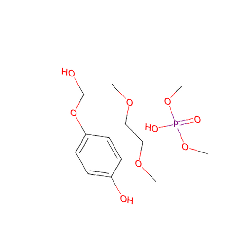 COCCOC.COP(=O)(O)OC.OCOc1ccc(O)cc1